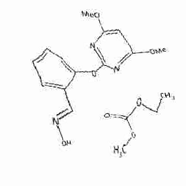 CCOC(=O)OC.COc1cc(OC)nc(Oc2ccccc2C=NO)n1